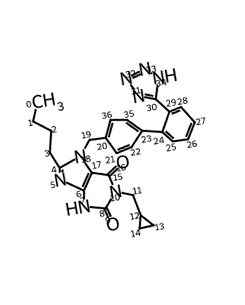 CCCCc1nc2[nH]c(=O)n(CC3CC3)c(=O)c2n1Cc1ccc(-c2ccccc2-c2nnn[nH]2)cc1